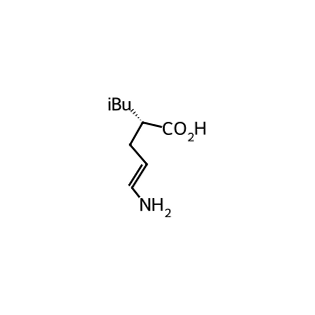 CCC(C)[C@@H](C/C=C/N)C(=O)O